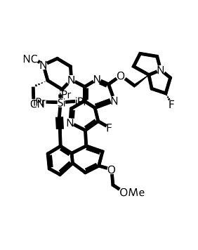 COCOc1cc(-c2ncc3c(N4CCN(C#N)[C@@H](CC#N)C4)nc(OC[C@@]45CCCN4C[C@H](F)C5)nc3c2F)c2c(C#C[Si](C(C)C)(C(C)C)C(C)C)cccc2c1